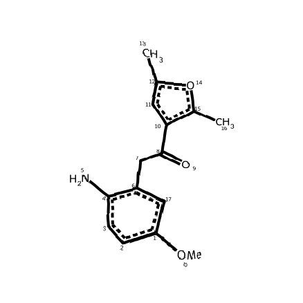 COc1ccc(N)c(CC(=O)c2cc(C)oc2C)c1